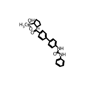 C[P@@](=O)(O)C1CCC[C@H]1C(=O)c1ccc(-c2ccc(NC(=O)Nc3ccccc3)cc2)cc1